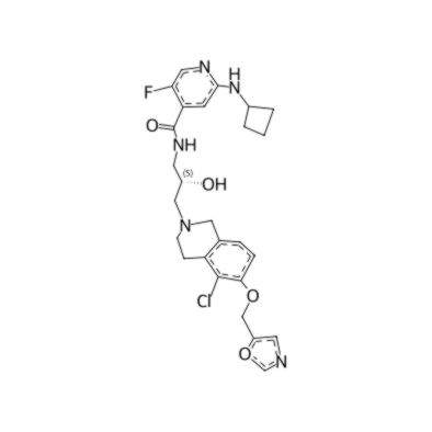 O=C(NC[C@H](O)CN1CCc2c(ccc(OCc3cnco3)c2Cl)C1)c1cc(NC2CCC2)ncc1F